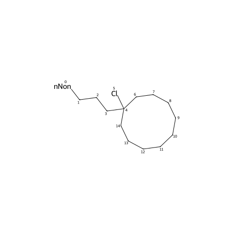 CCCCCCCCCCCCC1(Cl)CCCCCCCCC1